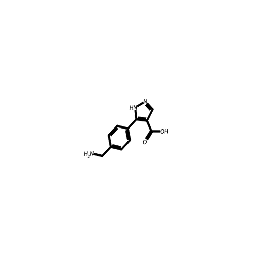 NCc1ccc(-c2[nH]ncc2C(=O)O)cc1